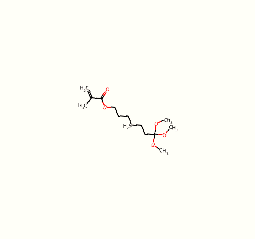 C=C(C)C(=O)OCCC[SiH2]CCC(OC)(OC)OC